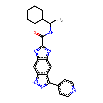 CC(NC(=O)c1nc2cc3c(-c4ccncc4)n[nH]c3cc2[nH]1)C1CCCCC1